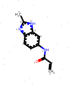 C=CC(=O)Nc1ccc2nc(C)[nH]c2c1